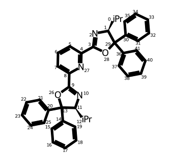 CC(C)[C@@H]1N=C(c2cccc(C3=N[C@@H](C(C)C)C(c4ccccc4)(c4ccccc4)O3)n2)OC1(c1ccccc1)c1ccccc1